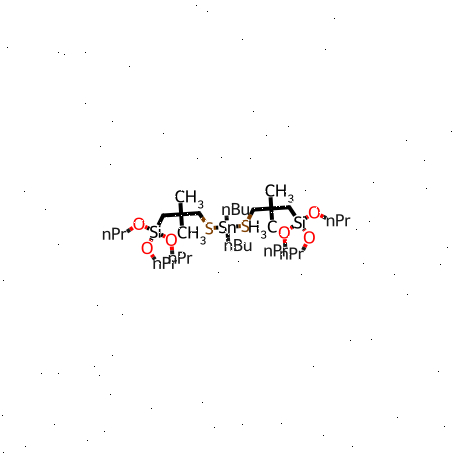 CCC[CH2][Sn]([CH2]CCC)([S]CC(C)(C)C[Si](OCCC)(OCCC)OCCC)[S]CC(C)(C)C[Si](OCCC)(OCCC)OCCC